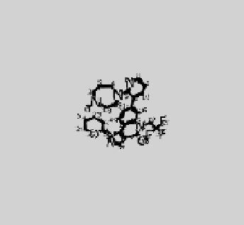 CN1CCCN(c2ncccc2-c2ccc3c4c(cnn4C4CCCCO4)c(=O)n(CC(F)(F)F)c3c2)CC1